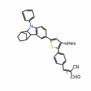 CCCCCCc1cc(-c2ccc3c(c2)C2C4CCC(C4)C2N3c2ccccc2)sc1-c1ccc(/C=C(\C#N)C=O)cc1